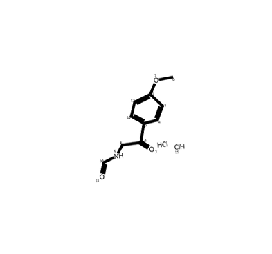 COc1ccc(C(=O)CNC=O)cc1.Cl.Cl